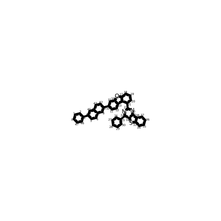 c1ccc(-c2ccc3cc(-c4ccc5c(c4)oc4cccc(-c6nc(-c7ccccc7)c7sc8ccccc8c7n6)c45)ccc3c2)cc1